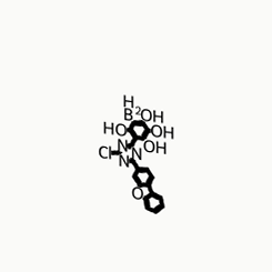 Bc1c(O)c(O)c(O)c(-c2nc(Cl)nc(-c3ccc4c(c3)oc3ccccc34)n2)c1O